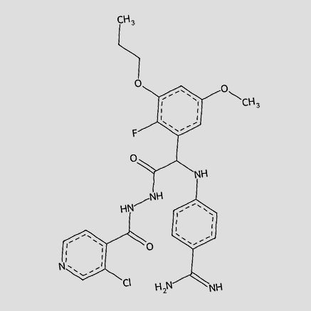 CCCOc1cc(OC)cc(C(Nc2ccc(C(=N)N)cc2)C(=O)NNC(=O)c2ccncc2Cl)c1F